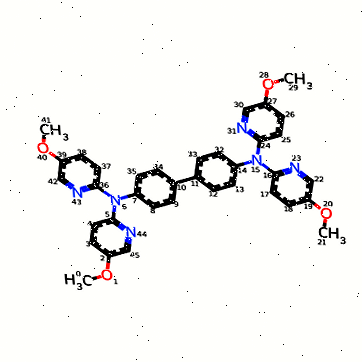 COc1ccc(N(c2ccc(-c3ccc(N(c4ccc(OC)cn4)c4ccc(OC)cn4)cc3)cc2)c2ccc(OC)cn2)nc1